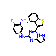 Nc1cc(Nc2nc(-c3csc4ccccc34)n3nccc3n2)ccc1F